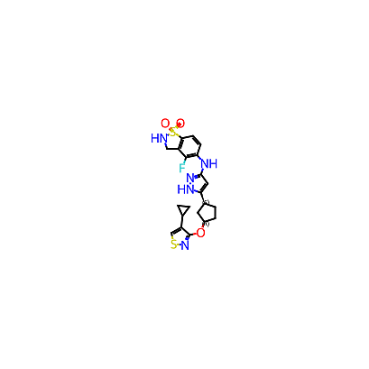 O=S1(=O)NCc2c1ccc(Nc1cc([C@H]3CC[C@@H](Oc4nscc4C4CC4)C3)[nH]n1)c2F